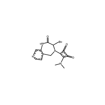 CCC(C)C1C(=O)Nc2cnccc2CN1c1c(N(C)C)c(=O)c1=O